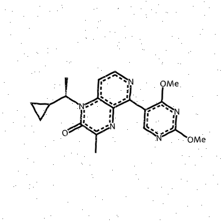 COc1ncc(-c2nccc3c2nc(C)c(=O)n3[C@H](C)C2CC2)c(OC)n1